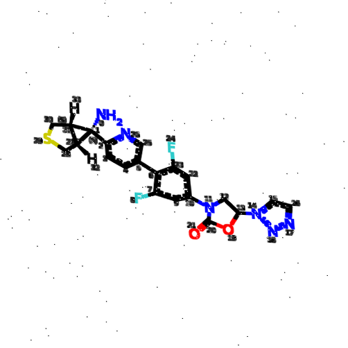 N[C@]1(c2ccc(-c3c(F)cc(N4CC(n5ccnn5)OC4=O)cc3F)cn2)[C@@H]2CSC[C@@H]21